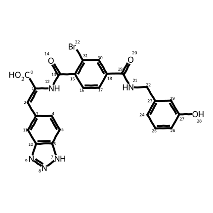 O=C(O)/C(=C/c1ccc2[nH]nnc2c1)NC(=O)c1ccc(C(=O)NCc2cccc(O)c2)cc1Br